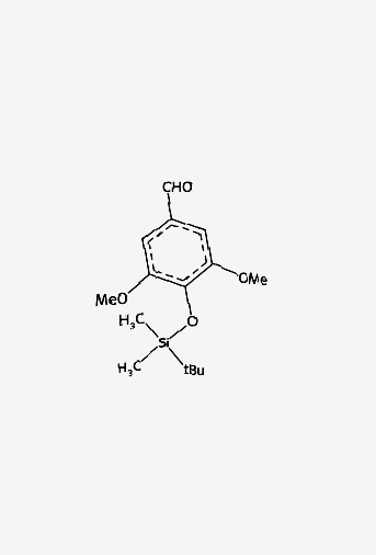 COc1cc(C=O)cc(OC)c1O[Si](C)(C)C(C)(C)C